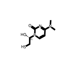 CN(C)c1ccn([C@@H](O)CS)c(=O)n1